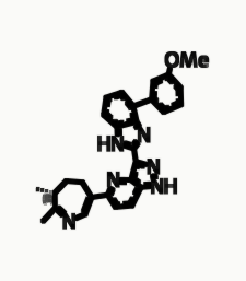 COc1cccc(-c2cccc3[nH]c(-c4n[nH]c5ccc(C6=CN=C(C)[C@H](C)CC6)nc45)nc23)c1